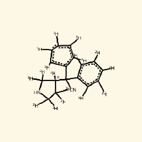 [2H]c1c([2H])c([2H])c(C(C#N)(c2c([2H])c([2H])c([2H])c([2H])c2[2H])[C@@]2([2H])C([2H])([2H])NC([2H])([2H])C2([2H])[2H])c([2H])c1[2H]